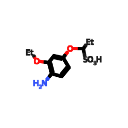 CCOc1cc(OC(CC)S(=O)(=O)O)ccc1N